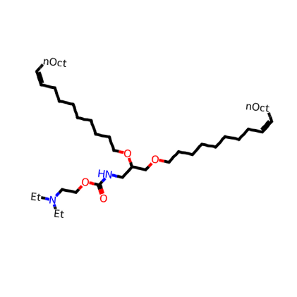 CCCCCCCC/C=C\CCCCCCCCOCC(CNC(=O)OCCN(CC)CC)OCCCCCCCC/C=C\CCCCCCCC